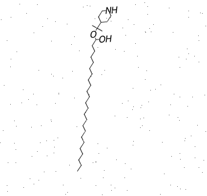 CCCCCCCCCCCCCCCCCCCCCCCC(O)OC(C)(C)C1CCNCC1